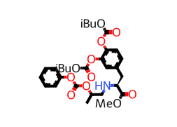 COC(=O)[C@H](Cc1ccc(OC(=O)OCC(C)C)c(OC(=O)OCC(C)C)c1)NCC(C)OC(=O)Oc1ccccc1